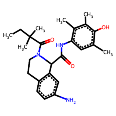 CCC(C)(C)C(=O)N1CCc2ccc(N)cc2C1C(=O)Nc1cc(C)c(O)c(C)c1C